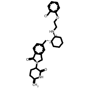 C=C1CCC(N2Cc3cc(C[C@H]4CCCC[C@@H]4NCCOc4ccccc4Cl)ccc3C2=O)C(=O)N1